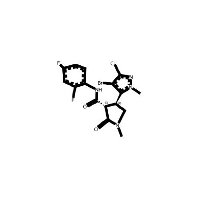 CN1C[C@H](c2c(Br)c(Cl)nn2C)[C@@H](C(=O)Nc2ccc(F)cc2F)C1=O